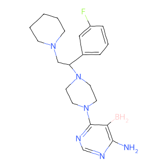 Bc1c(N)ncnc1N1CCN(C(CN2CCCCC2)c2cccc(F)c2)CC1